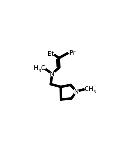 CC/C(=C\N(C)CC1CCN(C)C1)C(C)C